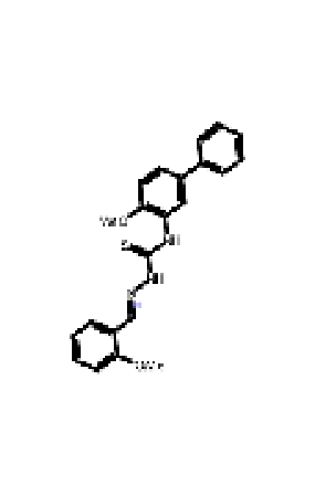 COc1ccccc1/C=N/NC(=S)Nc1cc(-c2ccccc2)ccc1OC